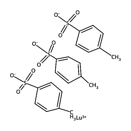 Cc1ccc(S(=O)(=O)[O-])cc1.Cc1ccc(S(=O)(=O)[O-])cc1.Cc1ccc(S(=O)(=O)[O-])cc1.[Lu+3]